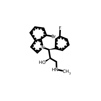 CNC[C@@H](O)[C@H](c1cccc(F)c1)n1ccc2cccc(Br)c21